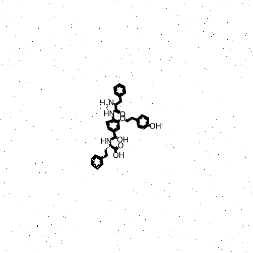 N[C@@H](Cc1ccccc1)C(=O)Nc1ccc(C(O)N[C@@H](CCc2ccccc2)C(=O)O)cc1OCCc1ccc(O)cc1